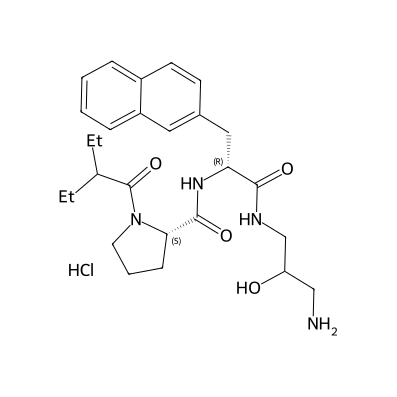 CCC(CC)C(=O)N1CCC[C@H]1C(=O)N[C@H](Cc1ccc2ccccc2c1)C(=O)NCC(O)CN.Cl